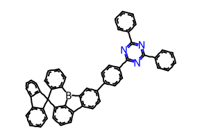 c1ccc(-c2nc(-c3ccccc3)nc(-c3ccc(-c4ccc5c(c4)B4c6ccccc6C6(c7ccccc7-c7ccccc76)c6cccc-5c64)cc3)n2)cc1